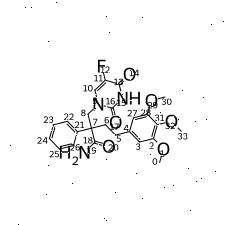 COc1cc(CCC(Cn2cc(F)c(=O)[nH]c2=O)(C(N)=O)c2ccccc2)cc(OC)c1OC